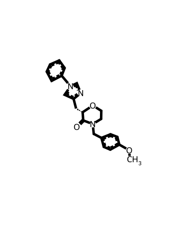 COc1ccc(CN2CCO[C@@H](Cc3cn(-c4ccccc4)cn3)C2=O)cc1